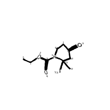 CCOC(=O)N1CCC(=O)CC1(C)I